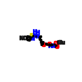 CC(CCCC(C)(C)OCCOCCNC(=O)OC(C)(C)C)NCNc1nc2c(s1)CC(C#N)C=C2